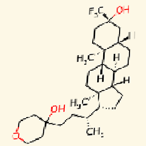 C[C@H](CCC1(O)CCOCC1)[C@H]1CC[C@H]2[C@@H]3CC[C@H]4C[C@](O)(C(F)(F)F)CC[C@]4(C)[C@H]3CC[C@]12C